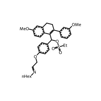 CCCCCCN=CCOc1ccc(C(OS(=O)(=O)CC)C2=C(c3cccc(OC)c3)CCc3cc(OC)ccc32)cc1